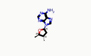 C[C@H]1C[C@H](n2cnc3c(N)ncnc32)O[C@@H]1C